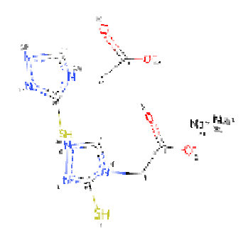 O=C([O-])Cn1cnnc1S.O=C([O-])Cn1cnnc1S.[Na+].[Na+]